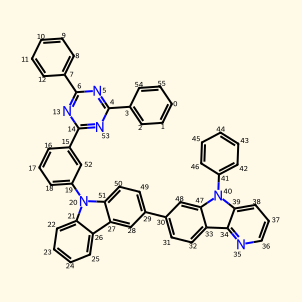 c1ccc(-c2nc(-c3ccccc3)nc(-c3cccc(-n4c5ccccc5c5cc(-c6ccc7c8ncccc8n(-c8ccccc8)c7c6)ccc54)c3)n2)cc1